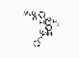 COC(=O)c1cccc(C(=O)Nc2cc(NC(=O)CCC3CCCCC3)ccc2C)c1